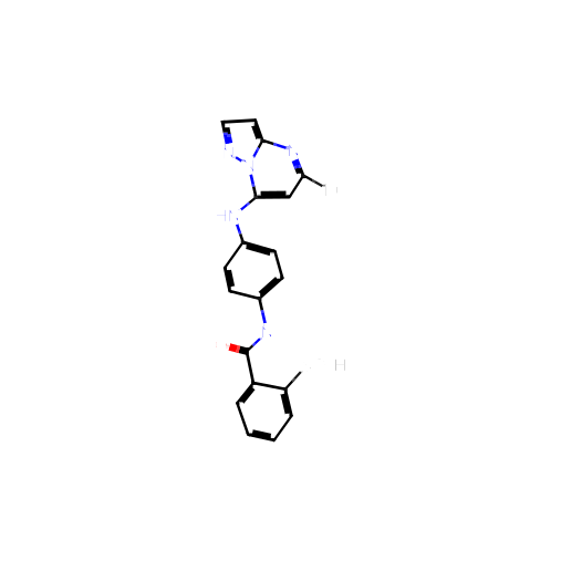 CCc1cc(Nc2ccc(NC(=O)c3ccccc3S(=O)(=O)O)cc2)n2nccc2n1